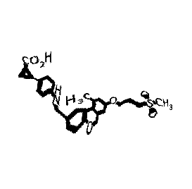 Cc1cc(OCCCS(C)(=O)=O)cc2c1-c1cc(CNc3ccc([C@H]4CC4C(=O)O)cc3)ccc1OC2